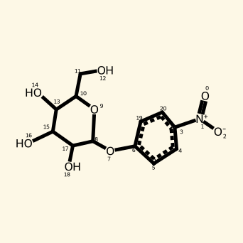 O=[N+]([O-])c1ccc(OC2OC(CO)C(O)C(O)C2O)cc1